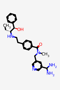 CC[C@@H](NCCc1ccc(C(=O)N(C)Cc2cncc(C(N)N)c2)cc1)[C@H](O)c1ccccc1